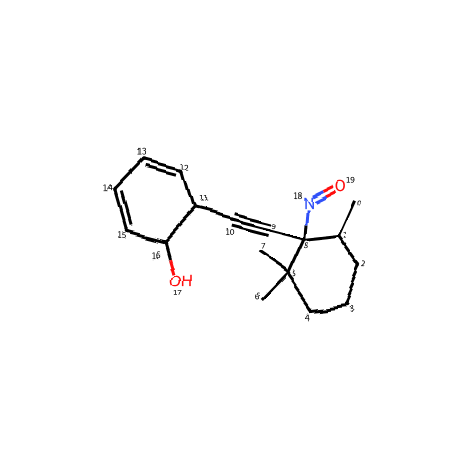 CC1CCCC(C)(C)C1(C#CC1C=CC=CC1O)N=O